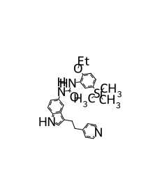 CCOc1ccc([Si](C)(C)C)cc1NC(=O)Nc1ccc2[nH]cc(CCc3ccncc3)c2c1